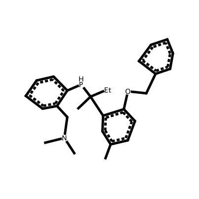 CCC(C)(Pc1ccccc1CN(C)C)c1cc(C)ccc1OCc1ccccc1